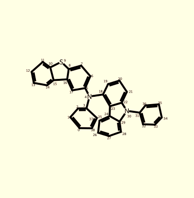 c1ccc(N(c2ccc3sc4ccccc4c3c2)c2cccc3c2c2ccccc2n3-c2ccccc2)cc1